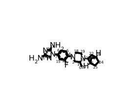 CC1CN(c2ccc(-n3nc(N)nc3N)cc2F)CCN1[C@H]1C[C@@H]2CC[C@H]1C2